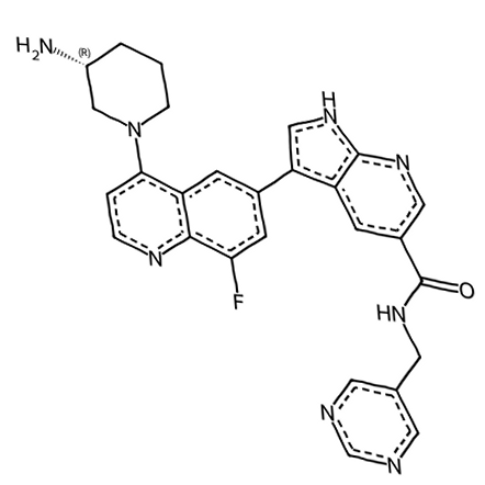 N[C@@H]1CCCN(c2ccnc3c(F)cc(-c4c[nH]c5ncc(C(=O)NCc6cncnc6)cc45)cc23)C1